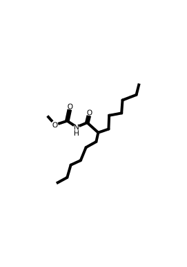 CCCCCCC(CCCCCC)C(=O)NC(=O)OC